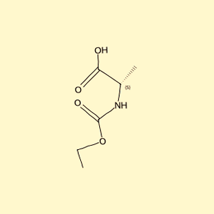 CCOC(=O)N[C@@H](C)C(=O)O